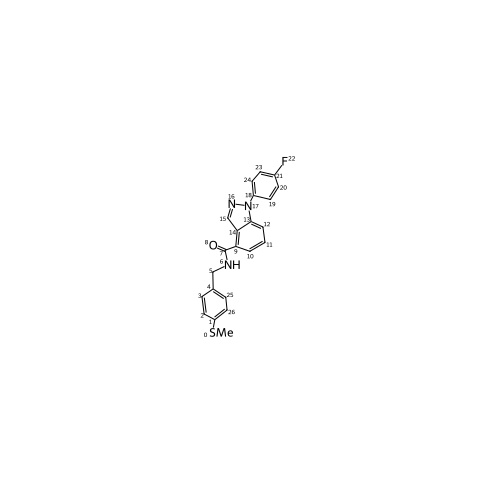 CSc1ccc(CNC(=O)c2cccc3c2cnn3-c2ccc(F)cc2)cc1